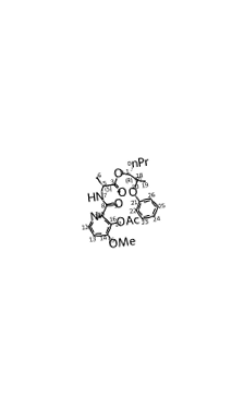 CCC[C@@H](OC(=O)[C@H](C)NC(=O)c1nccc(OC)c1OC(C)=O)[C@@H](C)Oc1ccccc1